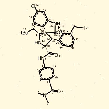 CN(C)C(=O)c1ccc(NC(=O)[C@@H]2N[C@@H](CC(C)(C)C)[C@@]3(C(=O)Nc4cc(Cl)ccc43)[C@H]2c2cccc(CI)c2F)cc1